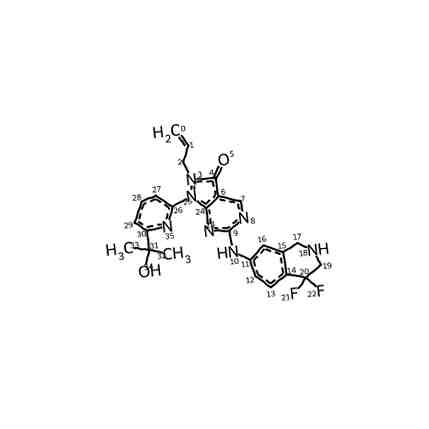 C=CCn1c(=O)c2cnc(Nc3ccc4c(c3)CNCC4(F)F)nc2n1-c1cccc(C(C)(C)O)n1